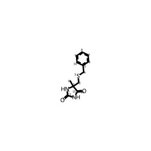 CC1(CSCc2ccccc2)NC(=O)NC1=O